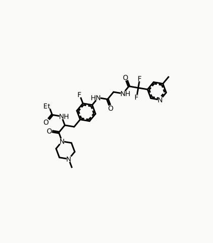 CCC(=O)NC(Cc1ccc(NC(=O)CNC(=O)C(F)(F)c2cncc(C)c2)c(F)c1)C(=O)N1CCN(C)CC1